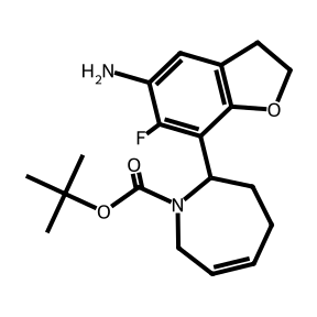 CC(C)(C)OC(=O)N1CC=CCCC1c1c(F)c(N)cc2c1OCC2